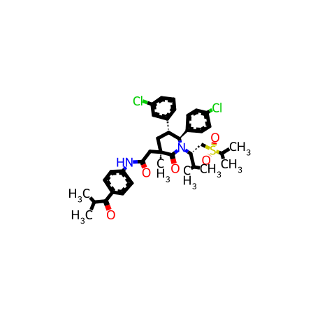 CC(C)C(=O)c1ccc(NC(=O)C[C@@]2(C)C[C@H](c3cccc(Cl)c3)[C@@H](c3ccc(Cl)cc3)N([C@H](CS(=O)(=O)C(C)C)C(C)C)C2=O)cc1